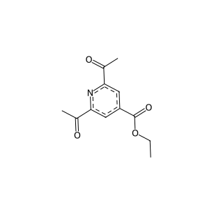 CCOC(=O)c1cc(C(C)=O)nc(C(C)=O)c1